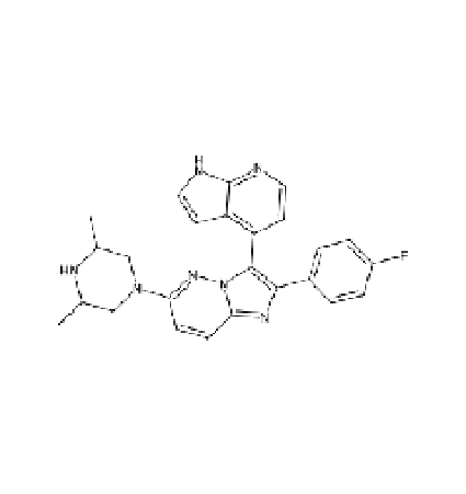 CC1CN(c2ccc3nc(-c4ccc(F)cc4)c(-c4ccnc5[nH]ccc45)n3n2)CC(C)N1